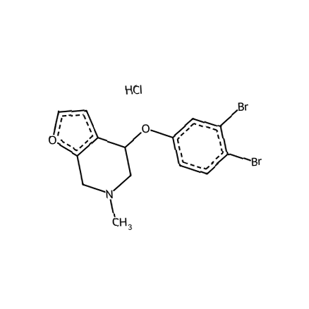 CN1Cc2occc2C(Oc2ccc(Br)c(Br)c2)C1.Cl